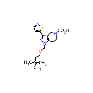 C[Si](C)(C)CCOCn1nc(-c2ccns2)c2c1CCN(C(=O)O)C2